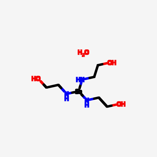 O.OCC[NH][Sb]([NH]CCO)[NH]CCO